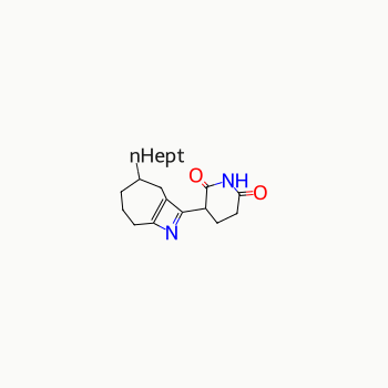 CCCCCCCC1CCCC2=C(C1)C(C1CCC(=O)NC1=O)=N2